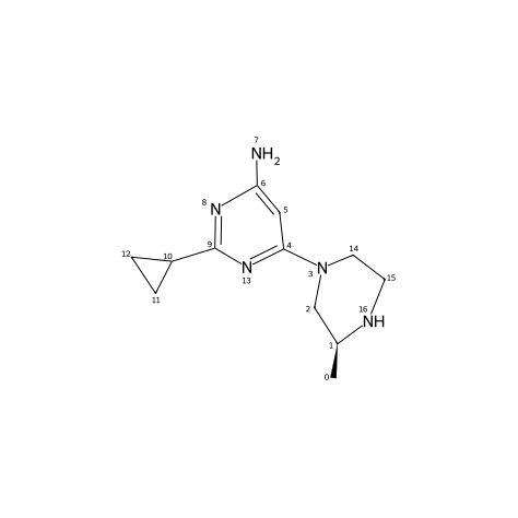 C[C@H]1CN(c2cc(N)nc(C3CC3)n2)CCN1